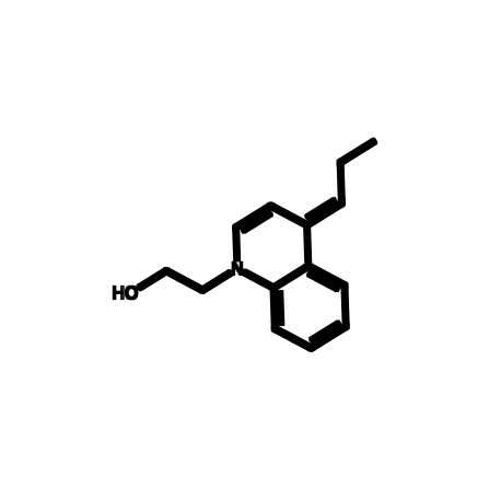 CCC=C1C=CN(CCO)c2ccccc21